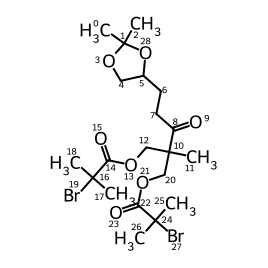 CC1(C)OCC(CCC(=O)C(C)(COC(=O)C(C)(C)Br)COC(=O)C(C)(C)Br)O1